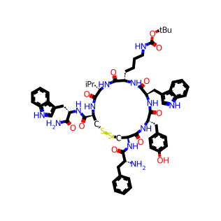 CC(C)[C@@H]1NC(=O)[C@H](CCCCNC(=O)OC(C)(C)C)NC(=O)[C@@H](Cc2c[nH]c3ccccc23)NC(=O)[C@H](Cc2ccc(O)cc2)NC(=O)[C@@H](NC(=O)[C@H](N)Cc2ccccc2)CSSC[C@@H](C(=O)N[C@@H](Cc2c[nH]c3ccccc23)C(N)=O)NC1=O